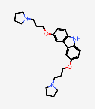 c1cc2[nH]c3ccc(OCCCN4CCCC4)cc3c2cc1OCCCN1CCCC1